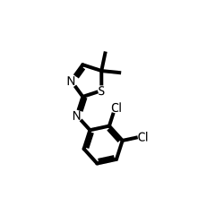 CC1(C)C=NC(=Nc2cccc(Cl)c2Cl)S1